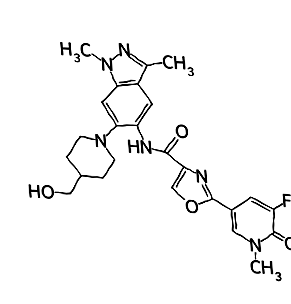 Cc1nn(C)c2cc(N3CCC(CO)CC3)c(NC(=O)c3coc(-c4cc(F)c(=O)n(C)c4)n3)cc12